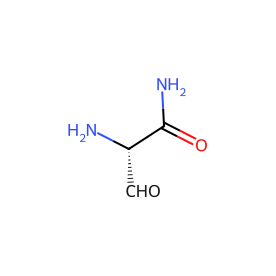 NC(=O)[C@@H](N)C=O